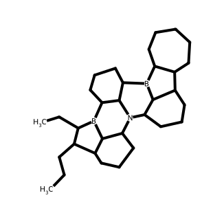 CCCC1C(CC)B2C3CCCC4B5C6CCCCCC6C6CCCC(C56)N(C5CCCC1C25)C34